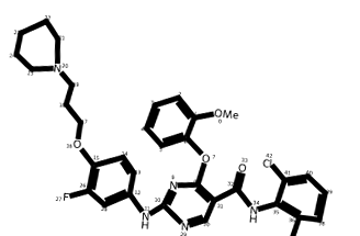 COc1ccccc1Oc1nc(Nc2ccc(OCCCN3CCCCC3)c(F)c2)ncc1C(=O)Nc1c(Cl)cccc1Cl